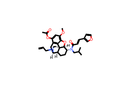 C=CCN1CC[C@]23c4c5c(OC(C)=O)cc(OC)c4O[C@H]2[C@H](N(CC(C)C)C(=O)/C=C/c2ccoc2)CC[C@H]3[C@H]1C5